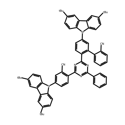 CC(C)(C)c1ccc2c(c1)c1cc(C(C)(C)C)ccc1n2-c1ccc(-c2nc(-c3ccccc3)nc(-c3ccc(-n4c5ccc(C(C)(C)C)cc5c5cc(C(C)(C)C)ccc54)cc3-c3ccccc3C#N)n2)c(C#N)c1